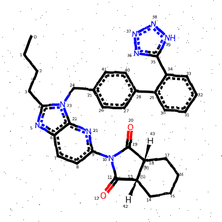 CCCCc1nc2ccc(N3C(=O)[C@H]4CCCC[C@H]4C3=O)nc2n1Cc1ccc(-c2ccccc2-c2nnn[nH]2)cc1